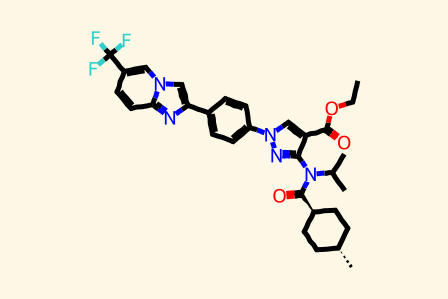 CCOC(=O)c1cn(-c2ccc(-c3cn4cc(C(F)(F)F)ccc4n3)cc2)nc1N(C(=O)[C@H]1CC[C@H](C)CC1)C(C)C